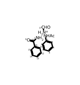 CC(=O)Nc1ccccc1.NC(=O)c1ccccc1.NC=O